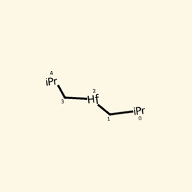 CC(C)[CH2][Hf][CH2]C(C)C